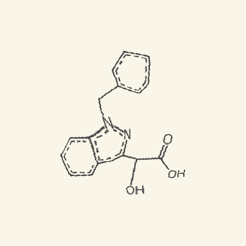 O=C(O)C(O)c1nn(Cc2ccccc2)c2ccccc12